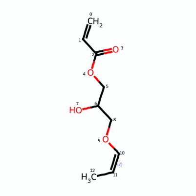 C=CC(=O)OCC(O)CO/C=C\C